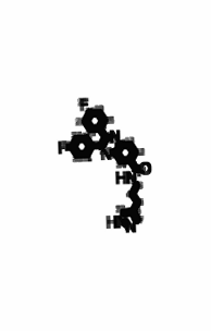 O=C(NCCCc1cn[nH]c1)c1ccc2nc(-c3ccc(F)cc3)c(-c3ccc(F)cc3)nc2c1